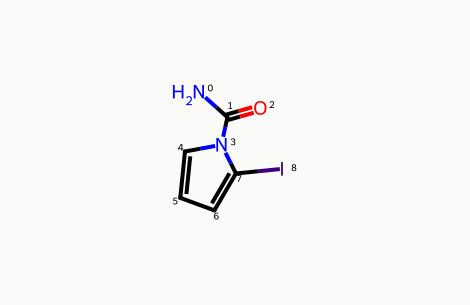 NC(=O)n1cccc1I